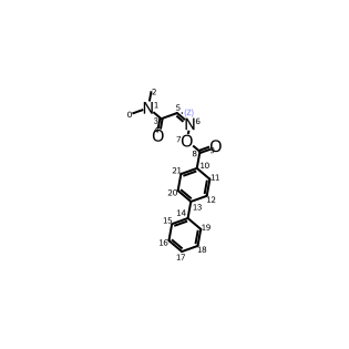 CN(C)C(=O)/[C]=N\OC(=O)c1ccc(-c2ccccc2)cc1